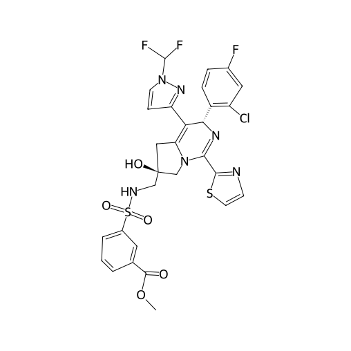 COC(=O)c1cccc(S(=O)(=O)NC[C@]2(O)CC3=C(c4ccn(C(F)F)n4)[C@H](c4ccc(F)cc4Cl)N=C(c4nccs4)N3C2)c1